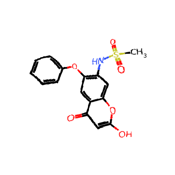 CS(=O)(=O)Nc1cc2oc(O)cc(=O)c2cc1Oc1ccccc1